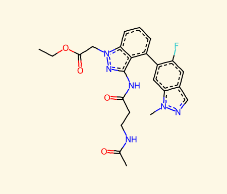 CCOC(=O)Cn1nc(NC(=O)CCNC(C)=O)c2c(-c3cc4c(cnn4C)cc3F)cccc21